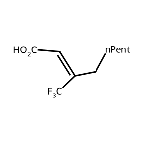 CCCCCCC(=CC(=O)O)C(F)(F)F